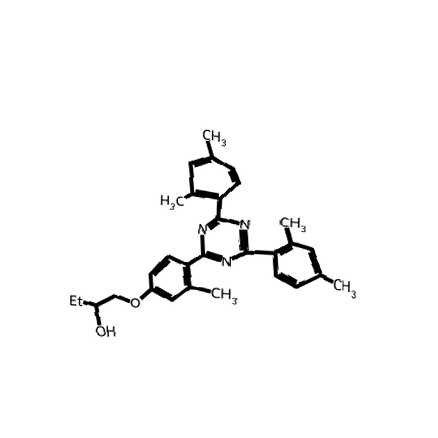 CCC(O)COc1ccc(-c2nc(-c3ccc(C)cc3C)nc(-c3ccc(C)cc3C)n2)c(C)c1